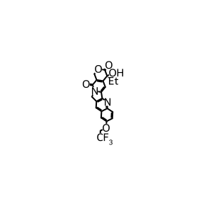 CC[C@@]1(O)C(=O)OCc2c1cc1n(c2=O)Cc2cc3cc(OCC(F)(F)F)ccc3nc2-1